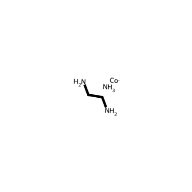 N.NCCN.[Co]